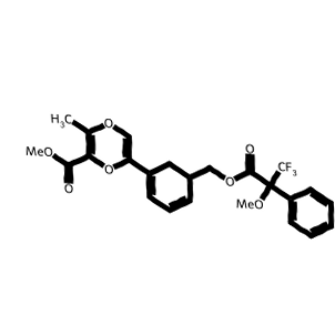 COC(=O)C1=C(C)OC=C(C2=CC=CC(COC(=O)C(OC)(c3ccccc3)C(F)(F)F)C2)O1